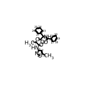 Cc1cc(NC(=O)C(C)OC(=O)C(NC(=O)c2ccccc2)c2ccccc2)no1